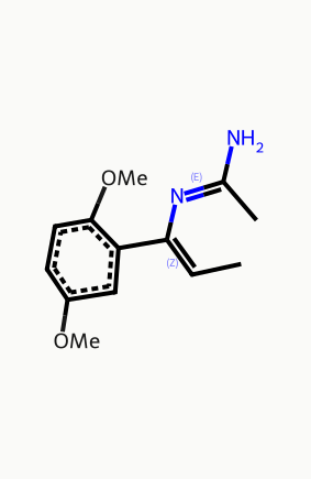 C/C=C(\N=C(/C)N)c1cc(OC)ccc1OC